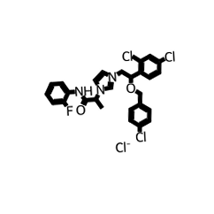 CC(C(=O)Nc1ccccc1F)n1cc[n+](CC(OCc2ccc(Cl)cc2)c2ccc(Cl)cc2Cl)c1.[Cl-]